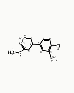 CCC(CC(=O)OC)c1ccc(Cl)c(N)c1